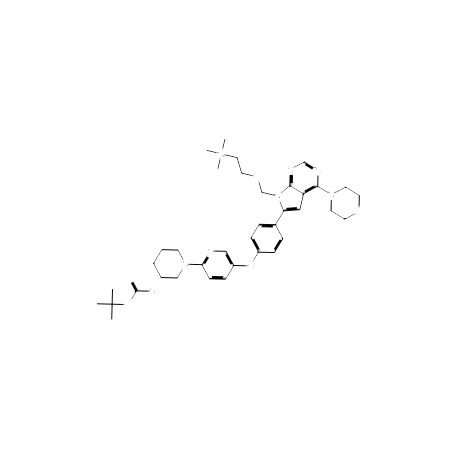 CC(C)(C)OC(=O)N[C@@H]1CCCN(c2ccc(Nc3ccc(-c4cc5c(N6CCOCC6)ncnc5n4COCC[Si](C)(C)C)cc3)cn2)C1